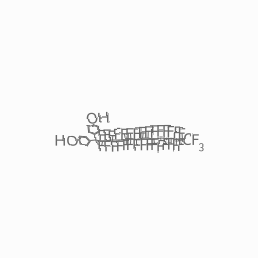 CC(c1ccc(O)cc1)(c1ccc(O)cc1)C(F)(F)C(F)(F)C(F)(F)C(F)(F)C(F)(F)C(F)(F)C(F)(F)C(F)(F)C(F)(F)C(F)(F)C(F)(F)C(F)(F)C(F)(F)C(F)(F)C(F)(F)C(F)(F)F